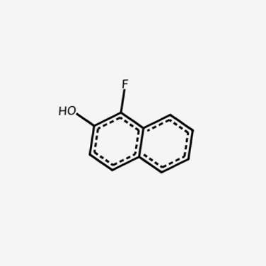 Oc1ccc2ccccc2c1F